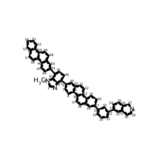 Cn1cnc2c(-c3ccc4c(ccc5c6ccc(-c7cccc(-c8ccc9cnccc9c8)c7)cc6ccc45)c3)ccc(-c3ccc4c(ccc5c6ccccc6ccc45)c3)c21